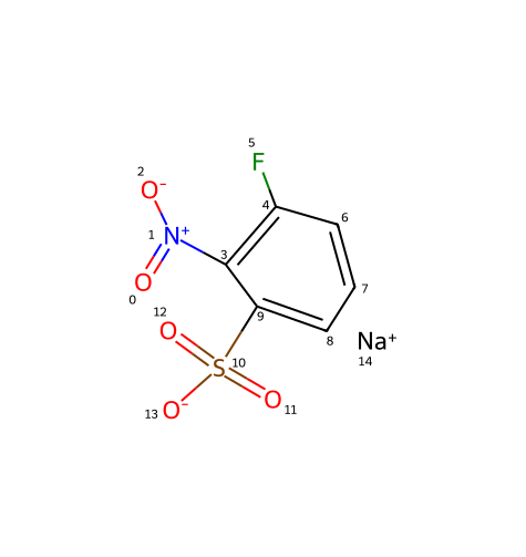 O=[N+]([O-])c1c(F)cccc1S(=O)(=O)[O-].[Na+]